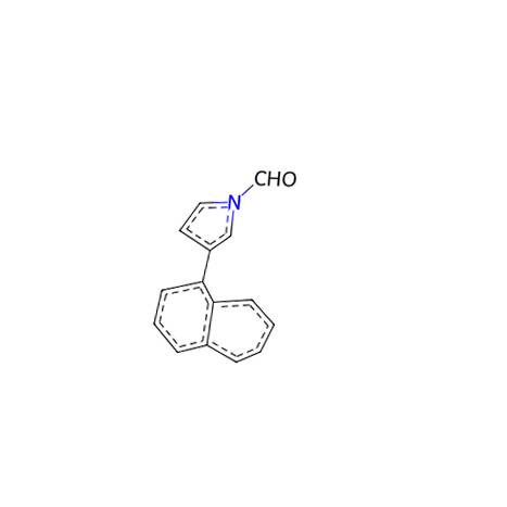 O=Cn1ccc(-c2cccc3ccccc23)c1